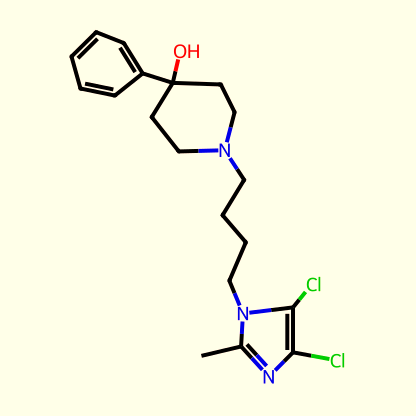 Cc1nc(Cl)c(Cl)n1CCCCN1CCC(O)(c2ccccc2)CC1